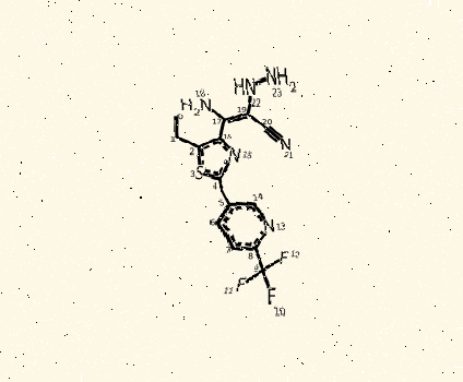 CCc1sc(-c2ccc(C(F)(F)F)nc2)nc1/C(N)=C(\C#N)NN